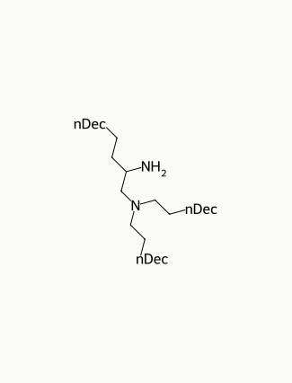 CCCCCCCCCCCCC(N)CN(CCCCCCCCCCCC)CCCCCCCCCCCC